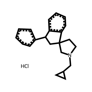 Cl.c1ccc(C2CC3(CCN(CC4CC4)C3)c3ccccc32)cc1